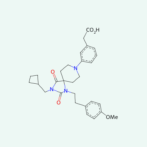 COc1ccc(CCN2C(=O)N(CC3CCC3)C(=O)C23CCN(c2cccc(CC(=O)O)c2)CC3)cc1